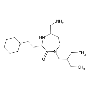 CCC(CC)CN1CCC(CN)N[C@@H](CCN2CCCCC2)C1=O